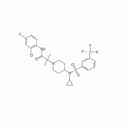 CC(C)(C(=O)Nc1ccc(F)cc1Cl)N1CCC(N(C2CC2)S(=O)(=O)c2cccc(C(F)(F)F)c2)CC1